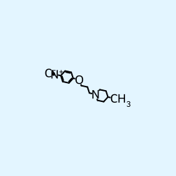 [C-]#[N+]c1ccc(OCCCN2CCC(C)CC2)cc1